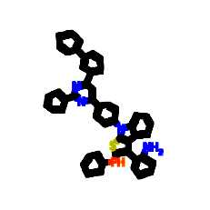 Nc1ccccc1-c1c(Pc2ccccc2)sc2c1c1ccccc1n2-c1ccc(-c2cc(-c3cccc(-c4ccccc4)c3)nc(-c3ccccc3)n2)cc1